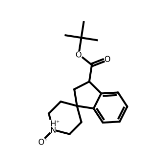 CC(C)(C)OC(=O)C1CC2(CC[NH+]([O-])CC2)c2ccccc21